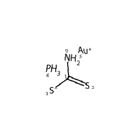 NC(=S)[S-].P.[Au+]